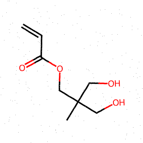 C=CC(=O)OCC(C)(CO)CO